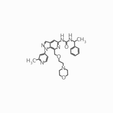 Cc1cc(-n2ncc3cc(NC(=O)NC(C)c4ccccc4)nc(COCCN4CCOCC4)c32)ccn1